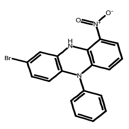 O=[N+]([O-])c1cccc2c1Nc1cc(Br)ccc1N2c1ccccc1